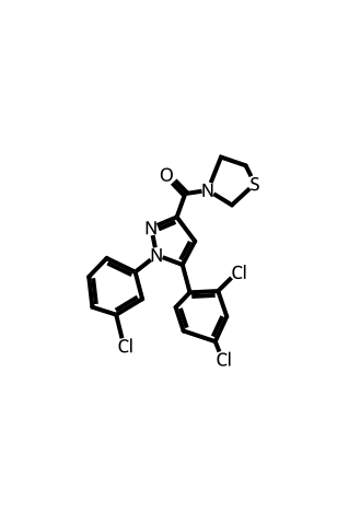 O=C(c1cc(-c2ccc(Cl)cc2Cl)n(-c2cccc(Cl)c2)n1)N1CCSC1